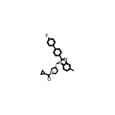 Cc1ccc2c(c1)nc(-c1ccc(-c3ccc(F)cc3)cc1)n2C[C@@H]1CCN(C(=O)C2CC2)C1